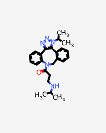 CC(C)NCCC(=O)N1Cc2ccccc2-c2c(nnn2C(C)C)-c2ccccc21